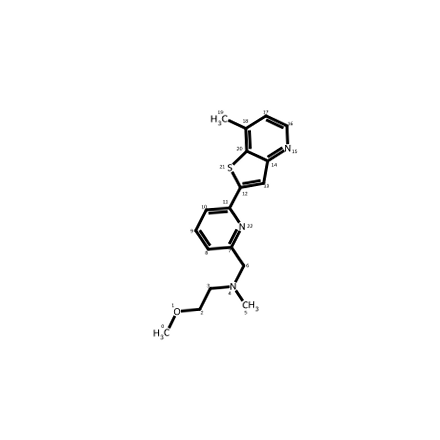 COCCN(C)Cc1cccc(-c2cc3nccc(C)c3s2)n1